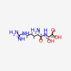 N=C(N)NCCC[C@H](N)C(=O)N[C@@H](O)C(=O)O